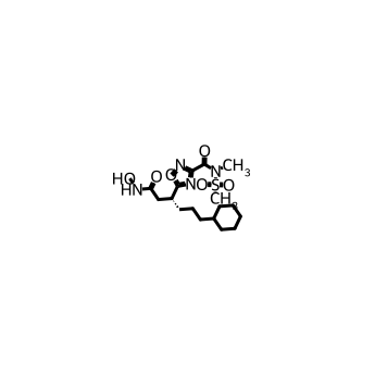 CN(C(=O)c1noc([C@H](CCCC2CCCCC2)CC(=O)NO)n1)S(C)(=O)=O